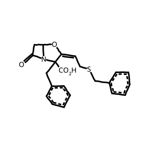 O=C1CC2OC(=CCSCc3ccccc3)C(Cc3ccccc3)(C(=O)O)N12